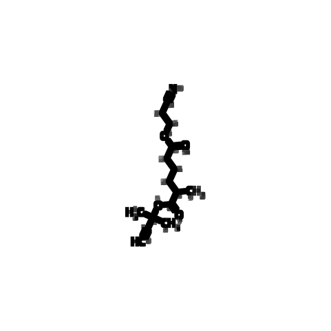 C#CC(C)(C)OC(=O)C(C)CCCC(=O)OCCC#N